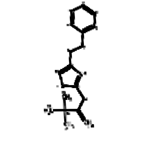 C=C(Cc1nc(CCc2ccccc2)cs1)C(C)(C)C